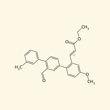 CCOC(=O)/C=C/c1cc(OC)ccc1-c1ccc(-c2cccc(C)c2)c(C=O)c1